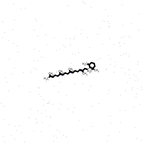 C=C1CCCC(C)(C)[C@@H]1CC/C(C)=C/CC/C=C(\C)CC/C=C(\C)CCC=C(C)C